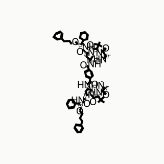 CN[C@@H](C)C(=O)N[C@H](C(=O)N1C[C@@H](NC(=O)c2ccc(C(=O)N[C@H]3C[C@@H](C(=O)N[C@H](COCCCc4ccccc4)C4C=CC=CC4)N(C(=O)[C@@H](NC(=O)[C@H](C)NC)C(C)(C)C)C3)cc2)C[C@H]1C(=O)N[C@H](COCCCc1ccccc1)c1ccccc1)C(C)(C)C